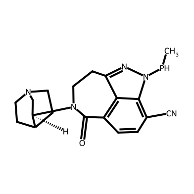 CPn1nc2c3c(ccc(C#N)c31)C(=O)N([C@@H]1CN3CCC1CC3)CC2